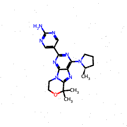 C[C@@H]1CCCN1c1nc(-c2cnc(N)nc2)nc2c1nc1n2CCOC1(C)C